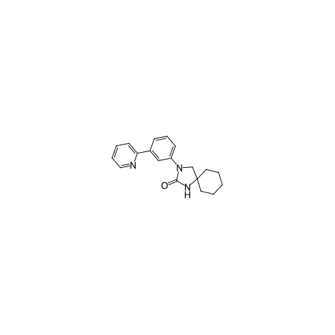 O=C1NC2(CCCCC2)CN1c1cccc(-c2ccccn2)c1